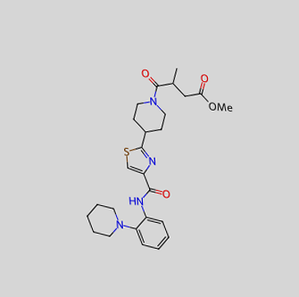 COC(=O)CC(C)C(=O)N1CCC(c2nc(C(=O)Nc3ccccc3N3CCCCC3)cs2)CC1